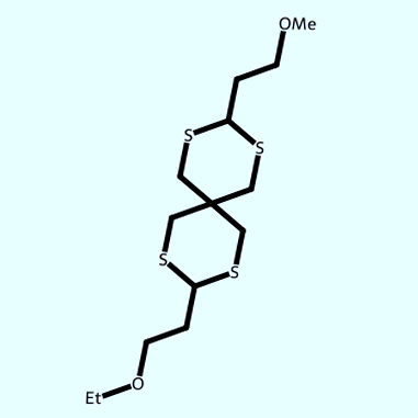 CCOCCC1SCC2(CSC(CCOC)SC2)CS1